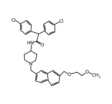 COCCOCc1ccc2ccc(CN3CCC(NC(=O)C(c4ccc(Cl)cc4)c4ccc(Cl)cc4)CC3)cc2c1